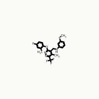 CSc1cccc(NCc2c(Oc3ccc(F)cc3C)nnc(C(F)(F)F)c2C)c1